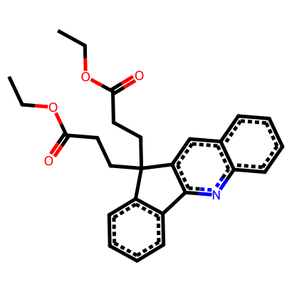 CCOC(=O)CCC1(CCC(=O)OCC)c2ccccc2-c2nc3ccccc3cc21